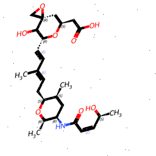 CC(/C=C/[C@H]1O[C@H](CC(=O)O)C[C@@]2(CO2)C1O)=C\C[C@@H]1O[C@H](C)[C@H](NC(=O)/C=C\[C@H](C)O)C[C@@H]1C